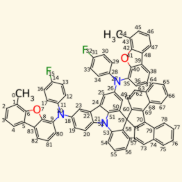 Cc1cccc2c1oc1c(N(c3ccc(F)cc3)c3ccc4c(c3)c3cc(N(c5ccc(F)cc5)c5cccc6c5oc5c(C)cccc56)cc5c3n4-c3ccccc3C53c4ccc5ccccc5c4-c4c3ccc3ccccc43)cccc12